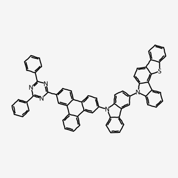 c1ccc(-c2nc(-c3ccccc3)nc(-c3ccc4c5ccc(-n6c7ccccc7c7cc(-n8c9ccccc9c9c%10sc%11ccccc%11c%10ccc98)ccc76)cc5c5ccccc5c4c3)n2)cc1